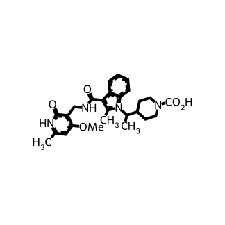 COc1cc(C)[nH]c(=O)c1CNC(=O)c1c(C)n(C(C)C2CCN(C(=O)O)CC2)c2ccccc12